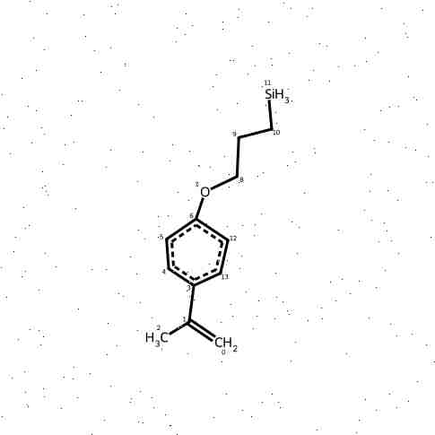 C=C(C)c1ccc(OCCC[SiH3])cc1